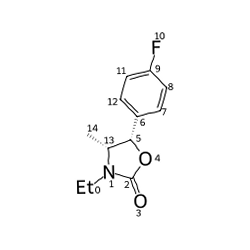 CCN1C(=O)O[C@@H](c2ccc(F)cc2)[C@H]1C